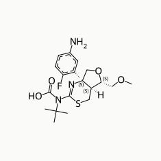 COC[C@H]1OC[C@]2(c3cc(N)ccc3F)N=C(N(C(=O)O)C(C)(C)C)SC[C@H]12